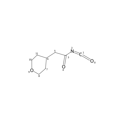 O=C=NC(=O)CC1CCOCC1